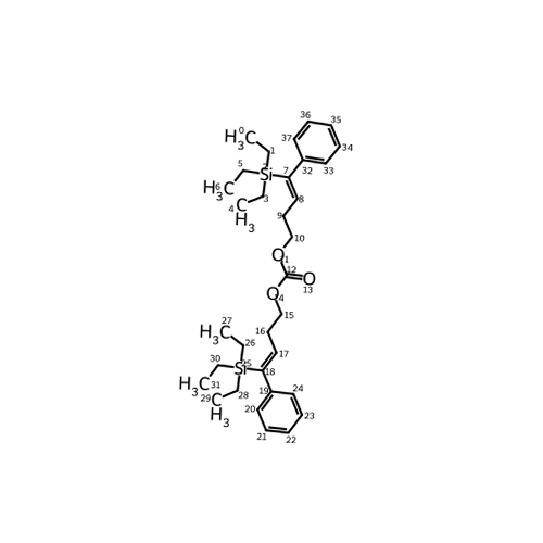 CC[Si](CC)(CC)/C(=C\CCOC(=O)OCC/C=C(/c1ccccc1)[Si](CC)(CC)CC)c1ccccc1